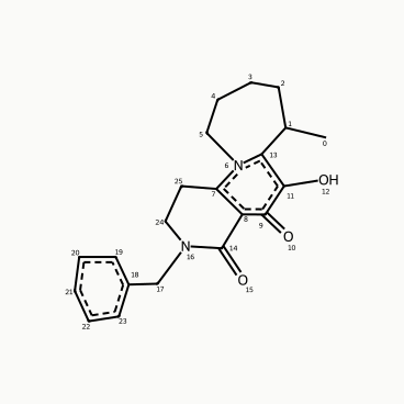 CC1CCCCn2c3c(c(=O)c(O)c21)C(=O)N(Cc1ccccc1)CC3